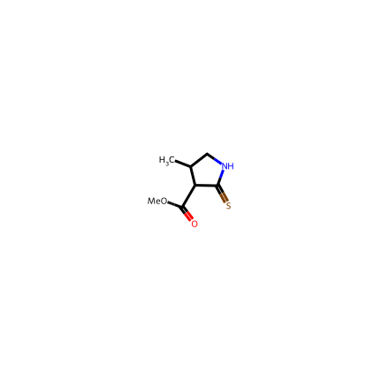 COC(=O)C1C(=S)NCC1C